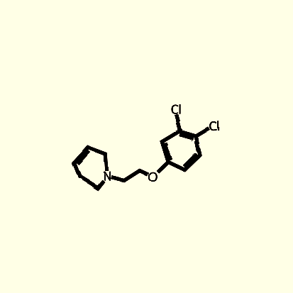 Clc1ccc(OCCN2CC=CCC2)cc1Cl